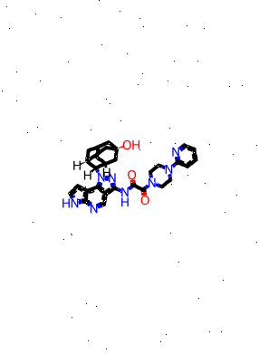 O=C(Nc1nn([C@H]2[C@@H]3CC4C[C@H]2C[C@@](O)(C4)C3)c2c1cnc1[nH]ccc12)C(=O)N1CCN(c2ccccn2)CC1